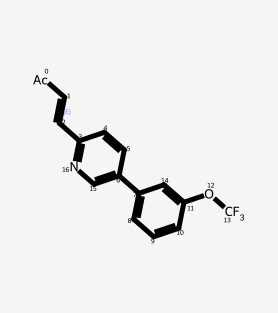 CC(=O)/C=C/c1ccc(-c2cccc(OC(F)(F)F)c2)cn1